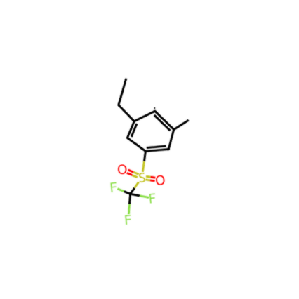 CCc1[c]c(C)cc(S(=O)(=O)C(F)(F)F)c1